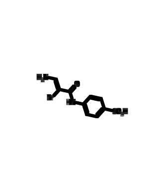 NC=C(Br)C(=O)Nc1ccc(S(=O)(=O)O)cc1